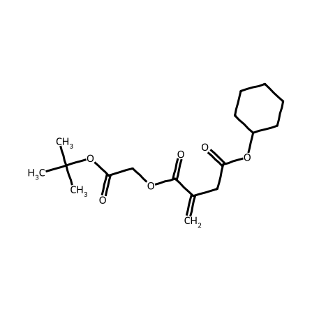 C=C(CC(=O)OC1CCCCC1)C(=O)OCC(=O)OC(C)(C)C